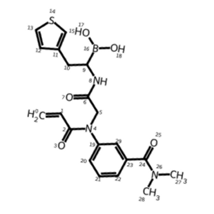 C=CC(=O)N(CC(=O)NC(Cc1ccsc1)B(O)O)c1cccc(C(=O)N(C)C)c1